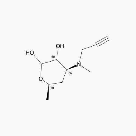 C#CCN(C)[C@H]1C[C@@H](C)OC(O)[C@@H]1O